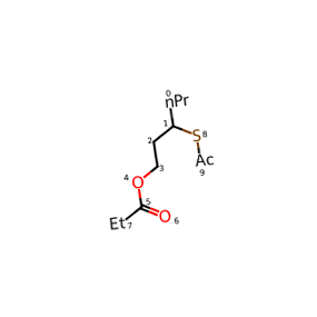 CCCC(CCOC(=O)CC)SC(C)=O